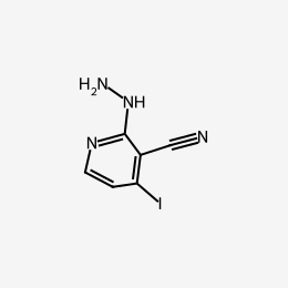 N#Cc1c(I)ccnc1NN